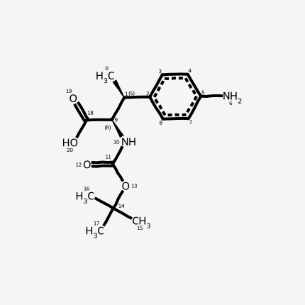 C[C@@H](c1ccc(N)cc1)[C@@H](NC(=O)OC(C)(C)C)C(=O)O